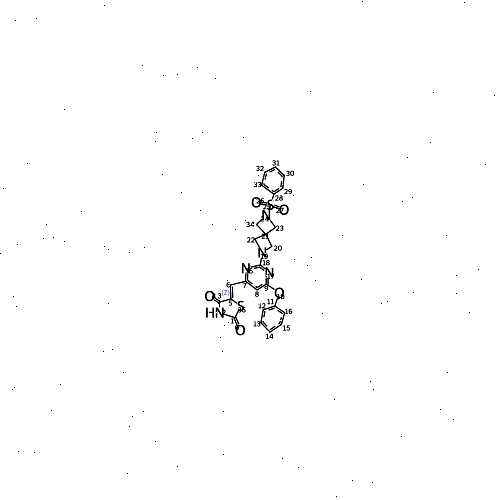 O=C1NC(=O)/C(=C/c2cc(Oc3ccccc3)nc(N3CC4(C3)CN(S(=O)(=O)c3ccccc3)C4)n2)S1